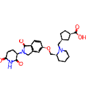 O=C1CCC(N2Cc3cc(OC[C@@H]4CCCCN4C[C@H]4CC[C@@H](C(=O)O)C4)ccc3C2=O)C(=O)N1